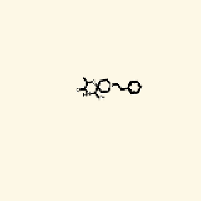 CC1OC2(CCN(CCc3ccccc3)CC2)C(C(C)C)NC1=O